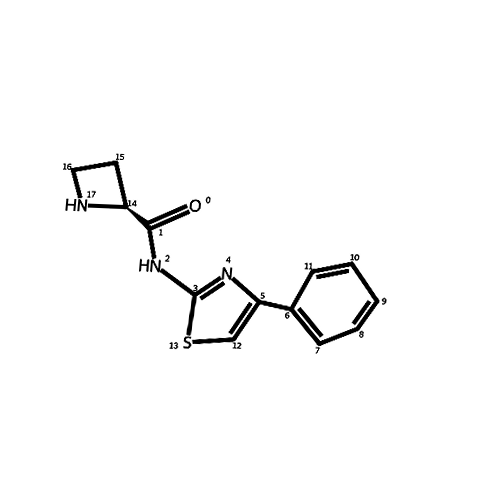 O=C(Nc1nc(-c2ccccc2)cs1)[C@@H]1CCN1